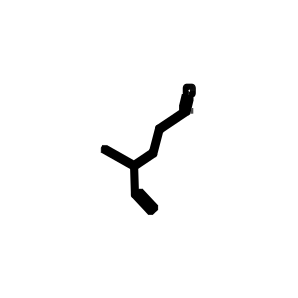 C=CC(C)CC[C]=O